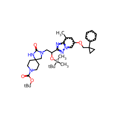 Cc1cc(OCC2(c3ccccc3)CC2)cn2nc(C(CN3CC4(CCN(C(=O)OC(C)(C)C)CC4)NC3=O)O[Si](C)(C)C(C)(C)C)nc12